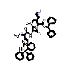 CO/N=C(/C(=O)NC1C(=O)N2C(C(=O)OC(c3ccccc3)c3ccccc3)=C(/C=C/Cl)C[S+]([O-])C12)c1csc(NC(c2ccccc2)(c2ccccc2)c2ccccc2)n1